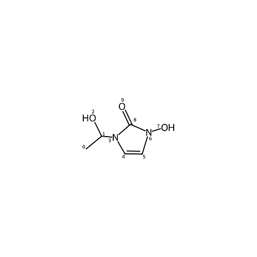 CC(O)n1ccn(O)c1=O